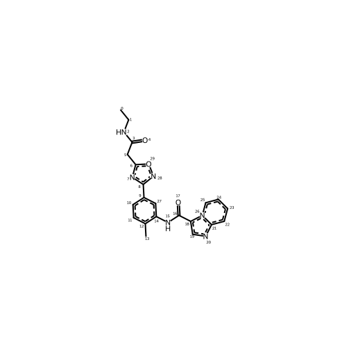 CCNC(=O)Cc1nc(-c2ccc(C)c(NC(=O)c3cnc4ccccn34)c2)no1